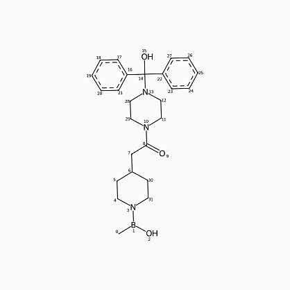 CB(O)N1CCC(CC(=O)N2CCN(C(O)(c3ccccc3)c3ccccc3)CC2)CC1